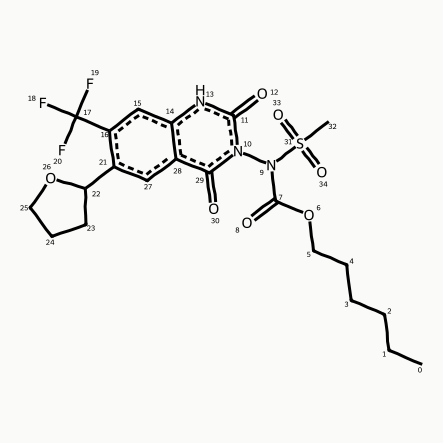 CCCCCCOC(=O)N(n1c(=O)[nH]c2cc(C(F)(F)F)c(C3CCCO3)cc2c1=O)S(C)(=O)=O